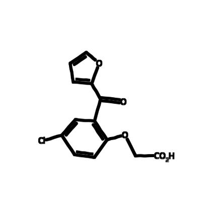 O=C(O)COc1ccc(Cl)cc1C(=O)c1ccco1